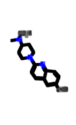 CN(C(=O)O)C1CCN(c2ccc3cc(C=O)ccc3n2)CC1